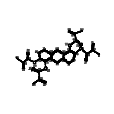 C=C(C)C(=O)Oc1ccc2cc3c(OC(=O)C(=C)C)c(OC(=O)C(=C)C)ccc3cc2c1OC(=O)C(=C)C